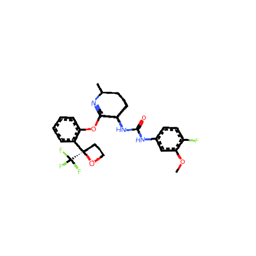 COc1cc(NC(=O)NC2CCC(C)N=C2Oc2ccccc2[C@@]2(C(F)(F)F)CCO2)ccc1F